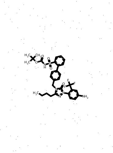 CCCCc1nn(-c2ccc(N)cc2C(F)(F)F)c(=O)n1Cc1ccc(-c2ccccc2S(=O)(=O)NC(=O)OC(C)(C)C)cc1